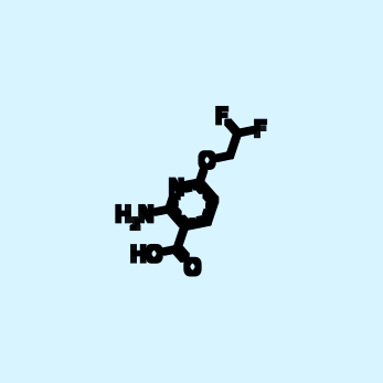 Nc1nc(OCC(F)F)ccc1C(=O)O